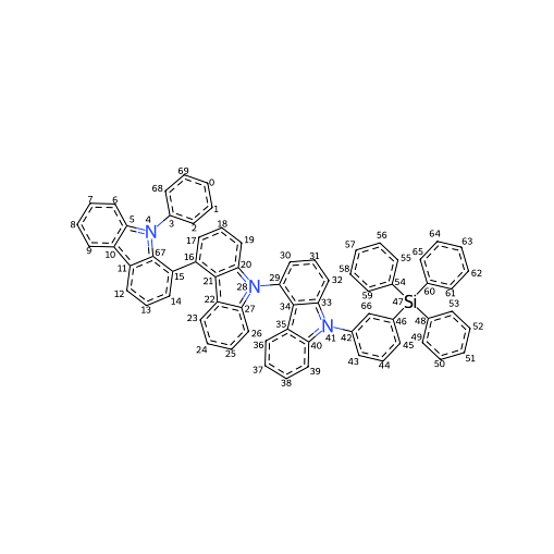 c1ccc(-n2c3ccccc3c3cccc(-c4cccc5c4c4ccccc4n5-c4cccc5c4c4ccccc4n5-c4cccc([Si](c5ccccc5)(c5ccccc5)c5ccccc5)c4)c32)cc1